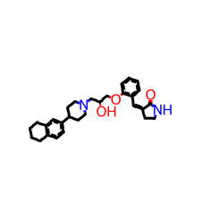 O=C1NCC/C1=C/c1ccccc1OC[C@@H](O)CN1CCC(c2ccc3c(c2)CCCC3)CC1